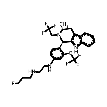 C[C@@H]1Cc2c([nH]c3ccccc23)[C@@H](c2ccc(NCCNCCCF)cc2OC(F)(F)F)N1CC(F)(F)F